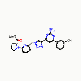 COC(=O)[C@H]1CCCN1c1cccc(Cn2cc(-c3cc(-c4cccc(C#N)c4)nc(N)n3)nn2)n1